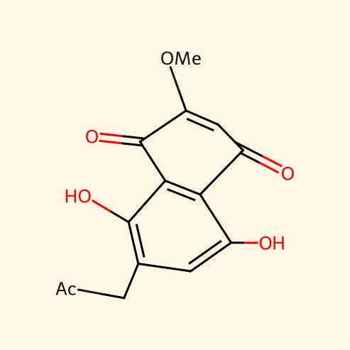 COC1=CC(=O)c2c(O)cc(CC(C)=O)c(O)c2C1=O